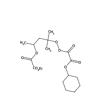 CCOC(=O)C(=O)OC(C)CC(C)(C)OOC(=O)C(=O)OC1CCCCC1